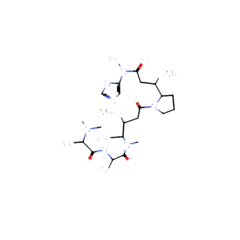 CCC(C)C(C(CC(=O)N1CCCC1C(CC(=O)N(CC)c1cnc[nH]1)SC)OC)N(C)C(=O)C(NC(=O)C(C(C)C)N(C)C)C(C)C